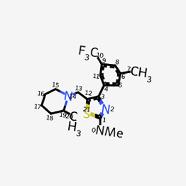 CNc1nc(-c2cc(C)cc(C(F)(F)F)c2)c(CN2CCCCC2C)s1